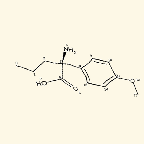 CCC[C@@](N)(C(=O)O)c1ccc(OC)cc1